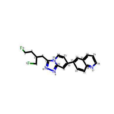 FCCC(CF)Cc1nnc2cc(-c3ccc4ncccc4c3)ccn12